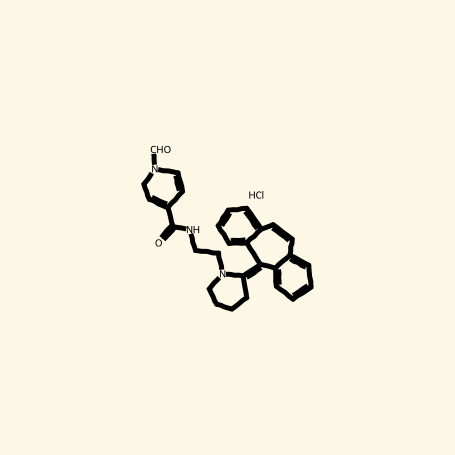 Cl.O=CN1C=CC(C(=O)NCCN2CCCCC2=C2c3ccccc3C=Cc3ccccc32)=CC1